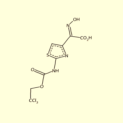 O=C(Nc1nc(/C(=N/O)C(=O)O)cs1)OCC(Cl)(Cl)Cl